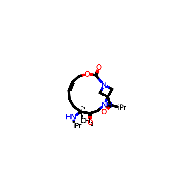 CC(C)N[C@]1(C)CCC=CCOC(=O)N2CC(C(=O)C(C)C)(C2)NCC1=O